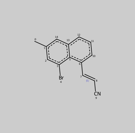 Cc1cc(Br)c2c(/C=C/C#N)cccc2c1